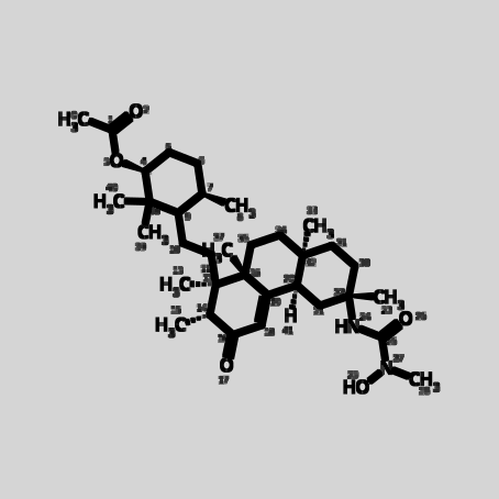 CC(=O)O[C@H]1CC[C@@H](C)C(CC[C@]2(C)[C@@H](C)C(=O)C=C3[C@@H]4C[C@@](C)(NC(=O)N(C)O)CC[C@]4(C)CC[C@]32C)C1(C)C